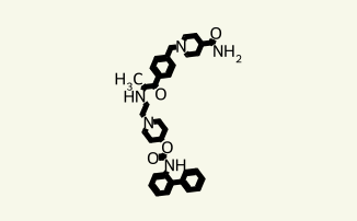 CC(NCCN1CCC(OC(=O)Nc2ccccc2-c2ccccc2)CC1)C(=O)c1ccc(CN2CCC(C(N)=O)CC2)cc1